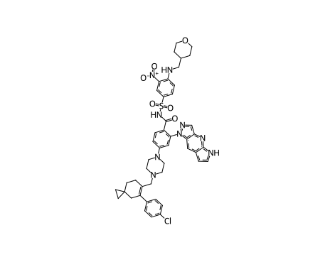 O=C(NS(=O)(=O)c1ccc(NCC2CCOCC2)c([N+](=O)[O-])c1)c1ccc(N2CCN(CC3=C(c4ccc(Cl)cc4)CC4(CC3)CC4)CC2)cc1-n1ncc2nc3[nH]ccc3cc21